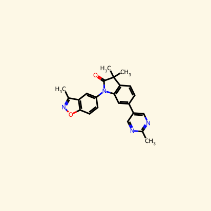 Cc1ncc(-c2ccc3c(c2)N(c2ccc4onc(C)c4c2)C(=O)C3(C)C)cn1